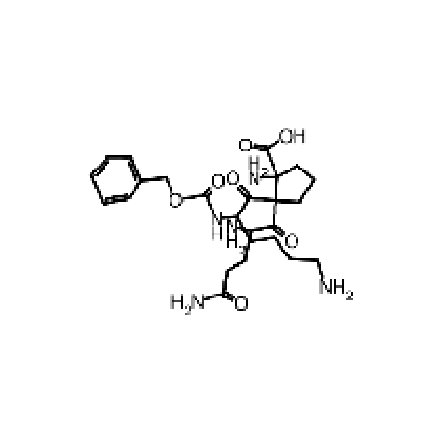 NCCCCC(NC(=O)OCc1ccccc1)C(=O)C1(C(=O)C(N)CCC(N)=O)CCCC1(N)C(=O)O